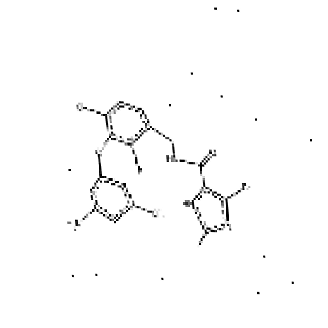 Cc1nc(Br)c(C(=O)NCc2ccc(Cl)c(Oc3cc(N)cc(C(F)(F)F)c3)c2F)[nH]1